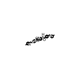 Cc1ccc(CCN2CCN(C(=O)Oc3ccc(NC(=O)c4ccc(CN5CCCC(C)C5)cc4)cn3)CC2)nc1